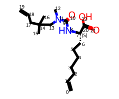 C=CCCCCC[C@H](NC(=O)N(C)CC(C)(C)CC=C)C(=O)O